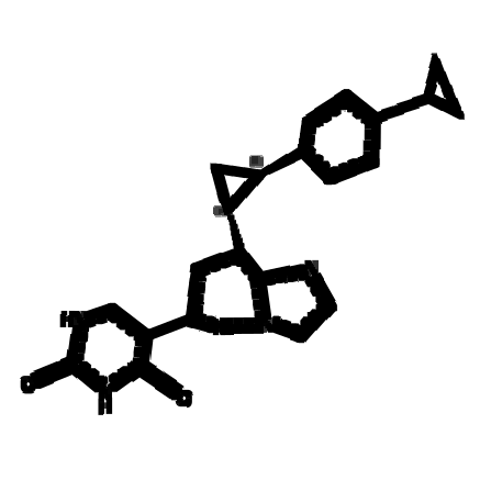 O=c1[nH]cc(-c2cc([C@@H]3C[C@H]3c3ccc(C4CC4)cc3)c3nccn3n2)c(=O)[nH]1